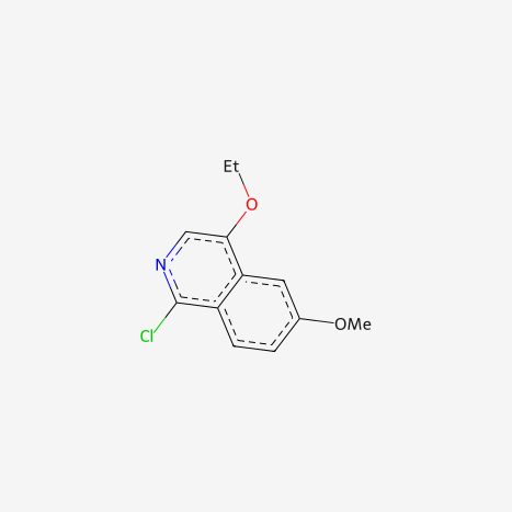 CCOc1cnc(Cl)c2ccc(OC)cc12